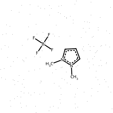 Cn1ccc[n+]1C.F[B-](F)(F)F